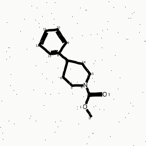 COC(=O)N1CCC(c2[c]cccc2)CC1